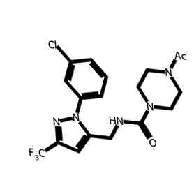 CC(=O)N1CCN(C(=O)NCc2cc(C(F)(F)F)nn2-c2cccc(Cl)c2)CC1